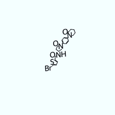 O=C(N[C@@H]1CC(=O)N(c2ccc(N3CCCCC3=O)cc2)C1)c1ccc(Br)s1